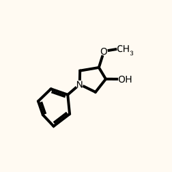 COC1CN(c2ccccc2)CC1O